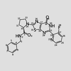 O=C(NCc1ccccc1)[C@H]1CCCN1c1nc2c(=O)[nH]c(-c3ncccc3F)nc2s1